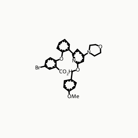 COc1ccc(COc2cc(N3CCOCC3)cc(-c3ccccc3Oc3ccc(Br)cc3C(=O)O)n2)cc1